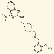 CN(C)c1nc(NCC2CCC(CNCc3ccccc3OC(F)(F)F)CC2)nc2ccccc12